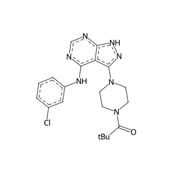 CC(C)(C)C(=O)N1CCN(c2n[nH]c3ncnc(Nc4cccc(Cl)c4)c23)CC1